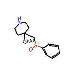 COC1(C[S+]([O-])c2ccccc2)CCNCC1